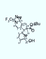 Cc1ccc(C(c2ccn3c(C(F)(F)F)nnc3c2C)C(C)(C)C(=O)OC(C)(C)C)nc1CO